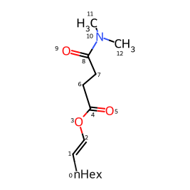 CCCCCCC=COC(=O)CCC(=O)N(C)C